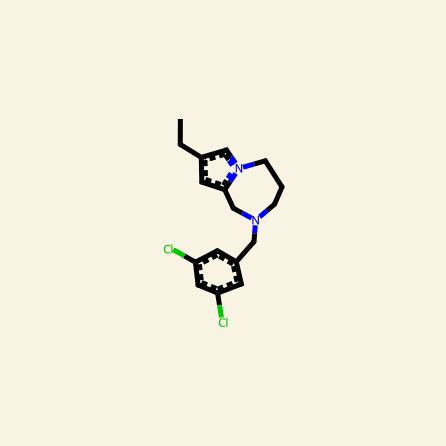 CCc1cc2n(c1)CCCN(Cc1cc(Cl)cc(Cl)c1)C2